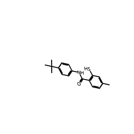 Cc1ccc(C(=O)Nc2ccc(C(C)(C)C)cc2)c(S)c1